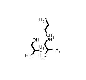 CC(C)CO.CC(C)CO.CCCN